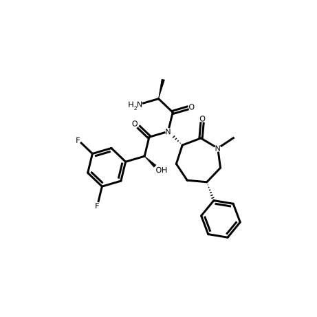 C[C@H](N)C(=O)N(C(=O)[C@@H](O)c1cc(F)cc(F)c1)[C@H]1CC[C@@H](c2ccccc2)CN(C)C1=O